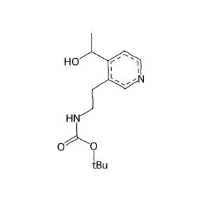 CC(O)c1ccncc1CCNC(=O)OC(C)(C)C